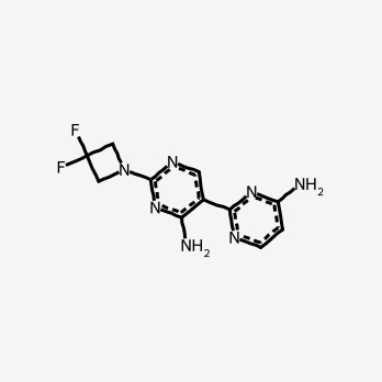 Nc1ccnc(-c2cnc(N3CC(F)(F)C3)nc2N)n1